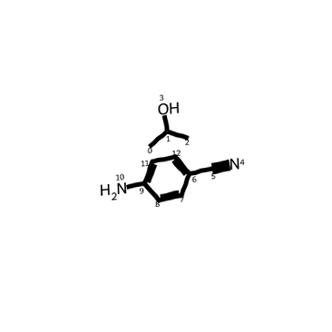 CC(C)O.N#Cc1ccc(N)cc1